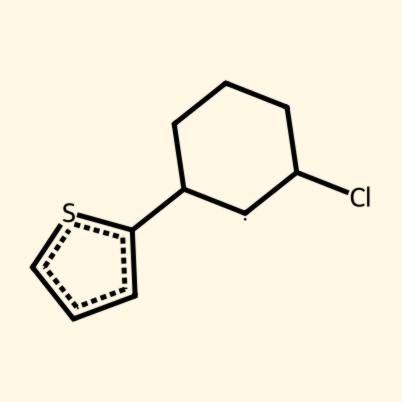 ClC1[CH]C(c2cccs2)CCC1